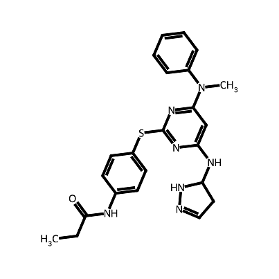 CCC(=O)Nc1ccc(Sc2nc(NC3CC=NN3)cc(N(C)c3ccccc3)n2)cc1